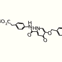 O=C(O)Cc1ccc(NC(=O)c2cc(=O)c(OCc3ccccc3)c[nH]2)cc1